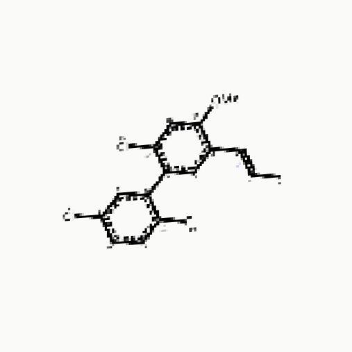 C/C=C/c1cc(-c2cc(Cl)ccc2Cl)c(Cl)cc1OC